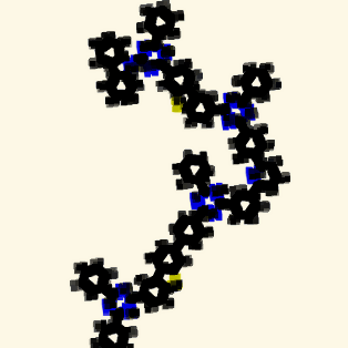 c1ccc(-c2nc(-c3ccc(-c4ccc5c(c4)sc4ccc(-c6nc(-c7ccccc7)nc(-c7ccccc7)n6)cc45)cc3)nc(-c3cccc(-c4cccc(-c5ccc(-c6nc(-c7ccccc7)nc(-c7ccc8sc9cc(-c%10nc(-c%11ccccc%11)nc(-n%11c%12ccccc%12c%12ccccc%12%11)n%10)ccc9c8c7)n6)cc5)n4)c3)n2)cc1